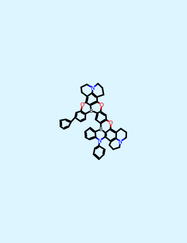 c1ccc(-c2ccc3c(c2)Oc2c4c5c(c6c2B3c2cc3c(cc2O6)Oc2c6c7c(c8c2B3c2ccccc2N8c2ccccc2)CCCN7CCC6)CCCN5CCC4)cc1